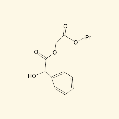 CC(C)OC(=O)COC(=O)C(O)c1ccccc1